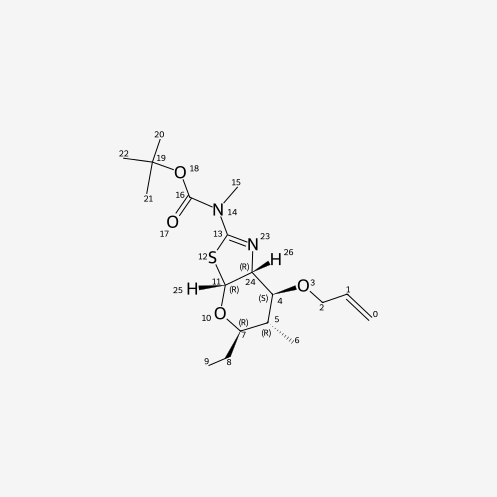 C=CCO[C@H]1[C@H](C)[C@@H](CC)O[C@@H]2SC(N(C)C(=O)OC(C)(C)C)=N[C@H]12